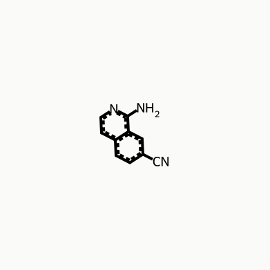 N#Cc1ccc2ccnc(N)c2c1